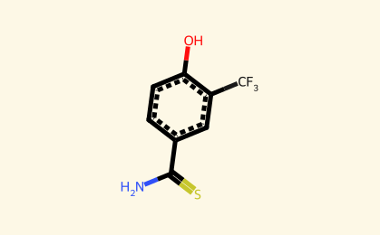 NC(=S)c1ccc(O)c(C(F)(F)F)c1